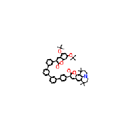 CC(C)(C)Oc1cc(OC(C)(C)C)c2cc(-c3cccc(-c4cccc(-c5cccc(-c6ccc(-c7cc8cc9c%10c(c8oc7=O)C(C)(C)CCN%10CCC9(C)C)cc6)c5)c4)c3)c(=O)oc2c1